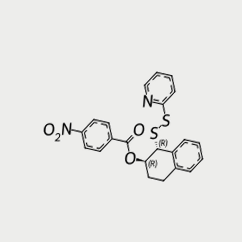 O=C(O[C@@H]1CCc2ccccc2[C@H]1SSc1ccccn1)c1ccc([N+](=O)[O-])cc1